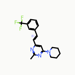 Cc1nc(/C=C/c2cccc(C(F)(F)F)c2)cc(N2CCCCC2)n1